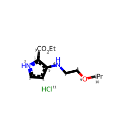 CCOC(=O)c1[nH]ccc1NCCOC(C)C.Cl